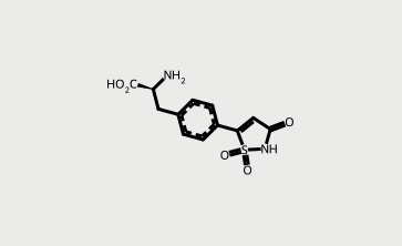 N[C@@H](Cc1ccc(C2=CC(=O)NS2(=O)=O)cc1)C(=O)O